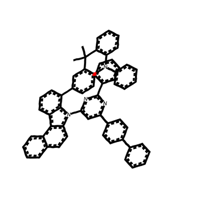 CC1(C)c2ccccc2N(c2ccccc2)c2ccc(-c3cccc4c5c6ccccc6ccc5n(-c5cc(-c6ccc(-c7ccccc7)cc6)nc(-c6ccccc6)n5)c34)cc21